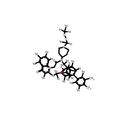 [2H]c1c([2H])c(F)c(F)c(C([2H])([2H])Sc2c([2H])c(=O)c3c([2H])c([2H])c([2H])c([2H])c3n2CC(=O)N(C2CCN(C([2H])([2H])COC([2H])([2H])[2H])CC2)C([2H])([2H])c2c([2H])c([2H])c(-c3c([2H])c([2H])c(C(F)(F)F)c(C)c3[2H])c([2H])c2[2H])c1[2H]